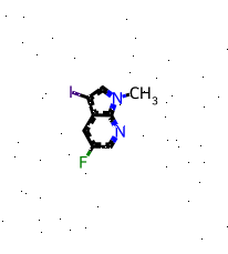 Cn1cc(I)c2cc(F)cnc21